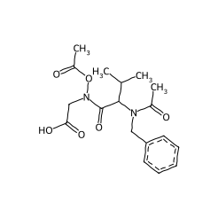 CC(=O)ON(CC(=O)O)C(=O)C(C(C)C)N(Cc1ccccc1)C(C)=O